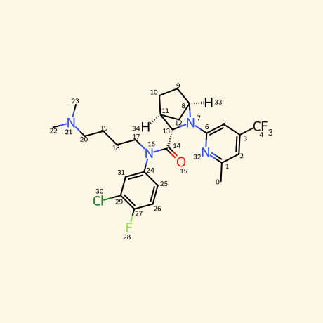 Cc1cc(C(F)(F)F)cc(N2[C@@H]3CC[C@@H](C3)[C@H]2C(=O)N(CCCCN(C)C)c2ccc(F)c(Cl)c2)n1